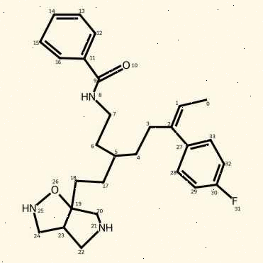 CC=C(CCC(CCNC(=O)c1ccccc1)CCC12CNCC1CNO2)c1ccc(F)cc1